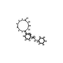 CC1CCCCCCC(c2cccc(OCc3ccccc3)n2)CCC1